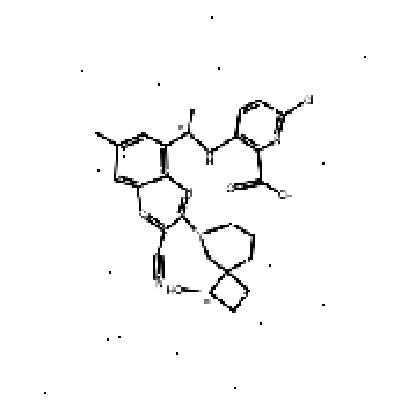 Cc1cc([C@@H](C)Nc2ccc(Cl)nc2C(=O)O)c2nc(N3CCCC4(CC[C@H]4O)C3)c(C#N)nc2c1